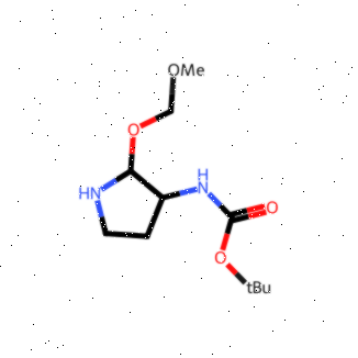 COCOC1NCCC1NC(=O)OC(C)(C)C